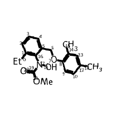 CCc1cccc(COc2ccc(C)cc2C)c1N(O)C(=O)OC